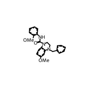 COc1ccc2c(c1)N(Cc1ccccc1)CCN2C(=O)Nc1ccccc1OC